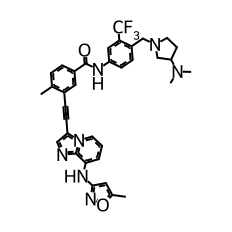 Cc1cc(Nc2cccn3c(C#Cc4cc(C(=O)Nc5ccc(CN6CCC(N(C)C)C6)c(C(F)(F)F)c5)ccc4C)cnc23)no1